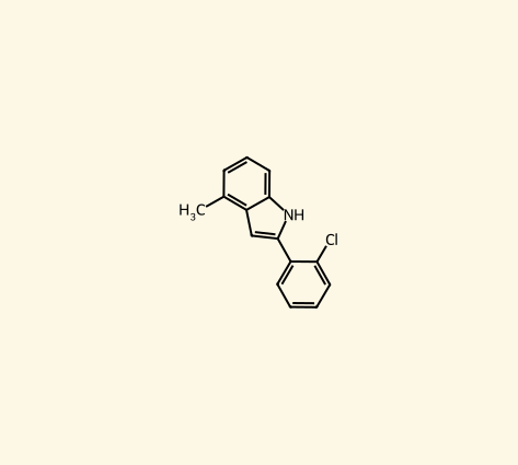 Cc1cccc2[nH]c(-c3ccccc3Cl)cc12